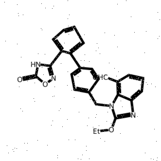 CCOc1nc2cccc(C=O)c2n1Cc1ccc(-c2ccccc2-c2noc(=O)[nH]2)cc1